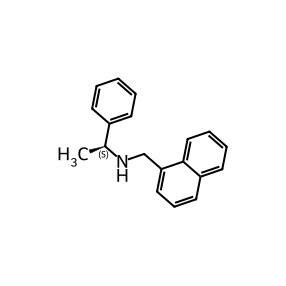 C[C@H](NCc1cccc2ccccc12)c1ccccc1